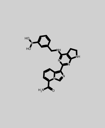 NC(=O)c1cccc2c(-c3nc4c(c(NCc5cccc(B(O)O)c5)n3)CCN4)ncn12